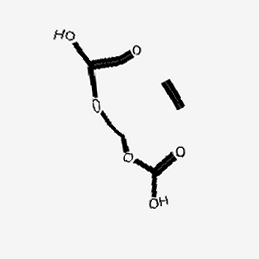 C=C.O=C(O)OCOC(=O)O